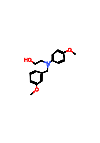 COc1ccc(N(CCO)Cc2cccc(OC)c2)cc1